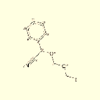 CCOCOC(C#N)c1ccccc1